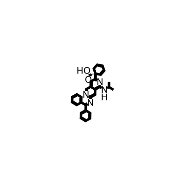 CC(C)Nc1nc([C@]2(C(=O)O)C=CC=CC2)cc2cnc(N=C(c3ccccc3)c3ccccc3)cc12